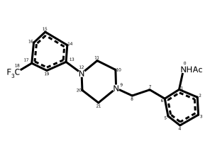 CC(=O)Nc1ccccc1CCN1CCN(c2cccc(C(F)(F)F)c2)CC1